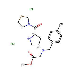 CC(C)OC(=O)CN(Cc1ccc(C#N)cc1)[C@@H]1CN[C@H](C(=O)N2CCSC2)C1.Cl.Cl